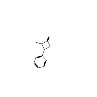 CC1C(=O)CC1c1ccccc1